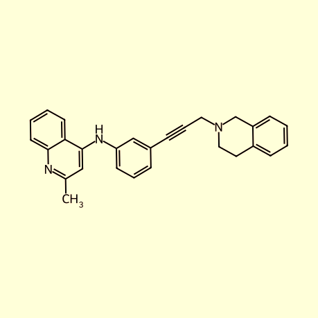 Cc1cc(Nc2cccc(C#CCN3CCc4ccccc4C3)c2)c2ccccc2n1